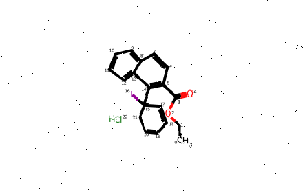 CCOC(=O)c1ccc2ccccc2c1C1(I)C=CC=CC1.Cl